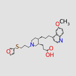 COc1ccc2nccc(CCC[C@@H]3CCN(CCCSc4ccoc4)C[C@@H]3CCC(=O)O)c2c1